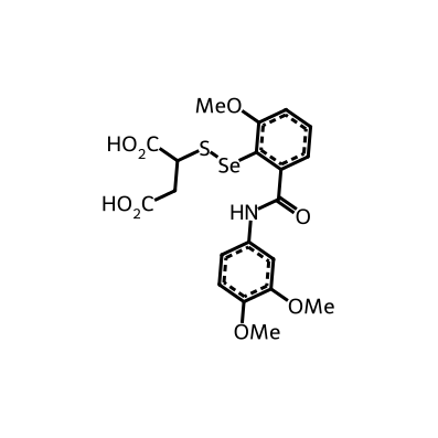 COc1ccc(NC(=O)c2cccc(OC)c2[Se]SC(CC(=O)O)C(=O)O)cc1OC